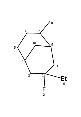 CCC1(F)CC2CCC(C)C(C2)C1